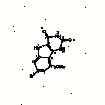 COc1cc(Br)cc2[nH]c3c(=O)[nH]c(=O)[nH]c3c12